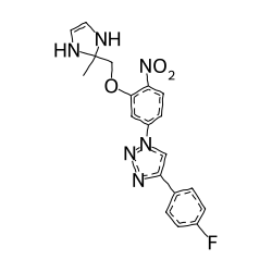 CC1(COc2cc(-n3cc(-c4ccc(F)cc4)nn3)ccc2[N+](=O)[O-])NC=CN1